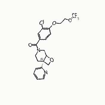 O=C(c1ccc(OCCOC(F)(F)F)c(Cl)c1)N1CC[C@]2(c3ccccn3)COC2C1